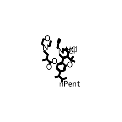 C#CCN1CCC2=C(C1)c1c(OC(=O)C(C)CCN3CCOCC3)cc(C(C)C(C)CCCCC)cc1OC2(C)C.Cl.Cl